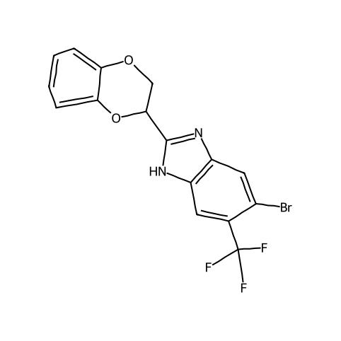 FC(F)(F)c1cc2[nH]c(C3COc4ccccc4O3)nc2cc1Br